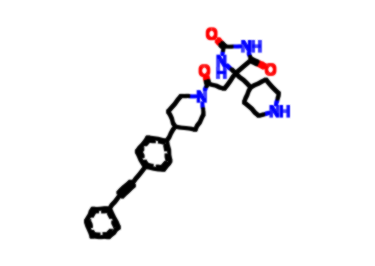 O=C1NC(=O)C(CC(=O)N2CCC(c3ccc(C#Cc4ccccc4)cc3)CC2)(C2CCNCC2)N1